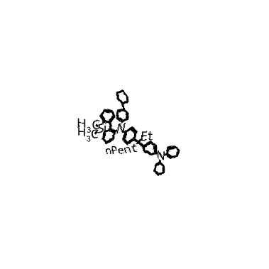 CCCCCC(CC)(c1ccc(N(c2ccccc2)c2ccccc2)cc1)c1ccc(N(c2ccc(C3CCCCC3)cc2)c2cccc3c2-c2ccccc2[Si]3(C)C)cc1